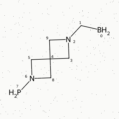 BCN1CC2(CN(P)C2)C1